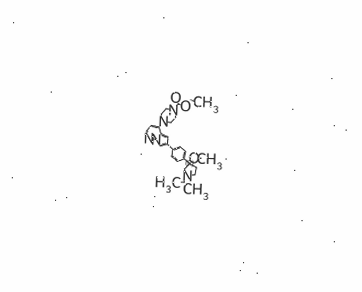 CCOC(=O)N1CCN(c2ccnn3cc(-c4ccc([C@]5(OC)CCN(C(C)C)C5)cc4)cc23)CC1